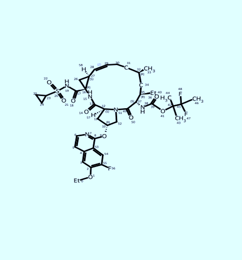 CCOc1cc2ccnc(O[C@@H]3C[C@H]4C(=O)N[C@]5(C(=O)NS(=O)(=O)C6CC6)C[C@H]5/C=C\CC[C@@H](C)C[C@@H](CC)[C@H](NC(=O)OC(C)(C)C(C)(F)F)C(=O)N4C3)c2cc1F